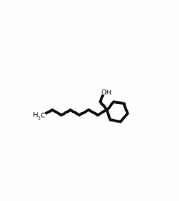 CCCCCCCC1(CO)CCCCC1